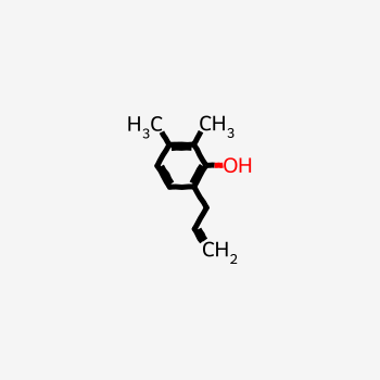 C=CCc1ccc(C)c(C)c1O